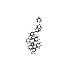 c1ccc(-c2cnc3ncc(-c4cccc(N5c6ccccc6-c6c(n(-c7ccccc7-c7ccccc7)c7ccccc67)-c6ccccc65)c4)cc3c2)cc1